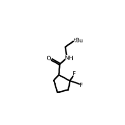 CC(C)(C)CNC(=O)C1CCCC1(F)F